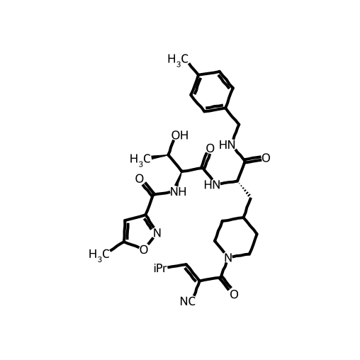 Cc1ccc(CNC(=O)[C@H](CC2CCN(C(=O)C(C#N)=CC(C)C)CC2)NC(=O)[C@@H](NC(=O)c2cc(C)on2)[C@@H](C)O)cc1